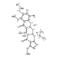 CCCCOc1noc2c1C(=O)[C@@]1(O)C(O)=C3C(=O)c4c(c(Br)c(F)c(CNC(C)C)c4OCCCC)C[C@H]3C[C@H]1[C@@H]2N(C)C